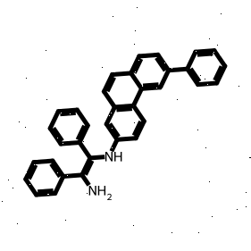 N/C(=C(\Nc1ccc2c(ccc3ccc(-c4ccccc4)cc32)c1)c1ccccc1)c1ccccc1